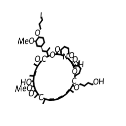 COC1C(=O)C(C)CC(C)C=CC=CC=C(C)C(OCCCCO)CC2CCC(C)C(O)(O2)C(=O)C(=O)N2CCCCC2C(=O)OC(C(C)C[C@@H]2CC[C@@H](OCCCI)[C@H](OC)C2)CC(=O)C(C)C=C(C)C1O